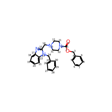 O=C(OCc1ccccc1)N1CCN(Cc2nc3ccccc3n2Cc2ccccc2)CC1